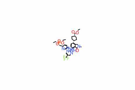 CCOC(=O)[C@H]1CC[C@H](c2ccc(NC3(Nc4ccc(CP(=O)(OCC)OCC)nc4)N=CC(C(F)(F)F)=CN3)c3c2CN(C)C3=O)CC1